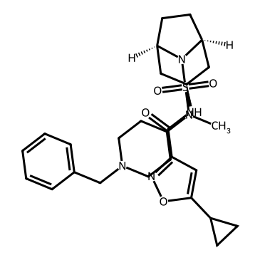 CN(C1CCN(Cc2ccccc2)CC1)S(=O)(=O)N1[C@@H]2CC[C@H]1C[C@@H](NC(=O)c1cc(C3CC3)on1)C2